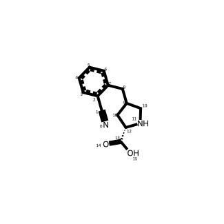 N#Cc1ccccc1CC1CN[C@H](C(=O)O)C1